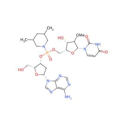 COC1[C@@H](O)[C@@H](COP(=O)(O[C@@H]2C[C@H](n3cnc4c(N)ncnc43)O[C@@H]2CO)N2CC(C)CC(C)C2)O[C@H]1n1ccc(=O)[nH]c1=O